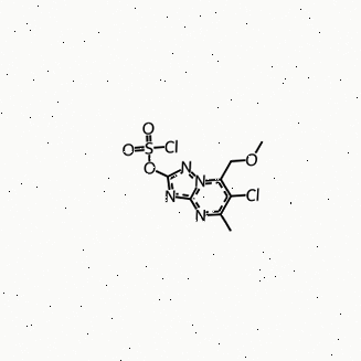 COCc1c(Cl)c(C)nc2nc(OS(=O)(=O)Cl)nn12